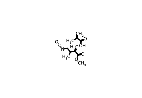 C=C(C(=O)OC)C(C)CN=C=O.C=C(C)C(=O)O